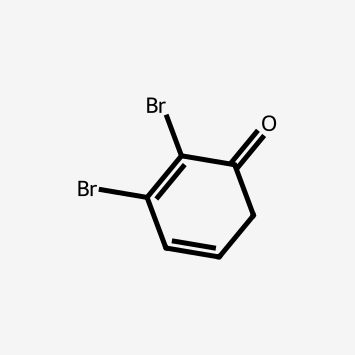 O=C1CC=CC(Br)=C1Br